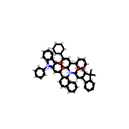 CC1(C)c2ccccc2-c2cc(N(c3ccc(C4CCCCC4)cc3-c3ccccc3)c3c(-c4ccc5c6ccccc6n(-c6ccccc6)c5c4)ccc4ccccc34)ccc21